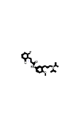 COc1ccc(NC(=O)/C=C/c2c(F)cccc2Cl)cc1CCCN(C(C)C)C(C)C